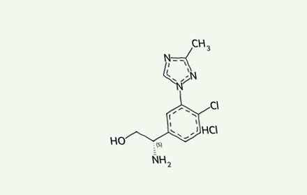 Cc1ncn(-c2cc([C@H](N)CO)ccc2Cl)n1.Cl